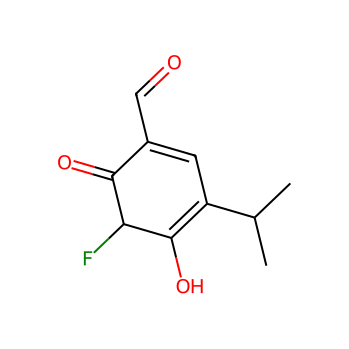 CC(C)C1=C(O)C(F)C(=O)C(C=O)=C1